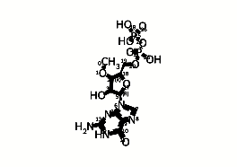 COC1C(O)[C@H](n2cnc3c(=O)[nH]c(N)nc32)O[C@@H]1COP(=O)(O)OP(=O)(O)O